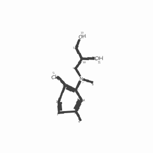 Cc1ccc(Cl)c(N(C)CC(O)CO)c1